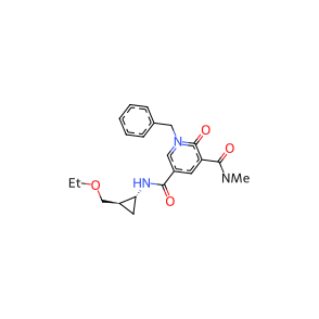 CCOC[C@@H]1C[C@H]1NC(=O)c1cc(C(=O)NC)c(=O)n(Cc2ccccc2)c1